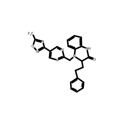 O=C1Nc2ccccc2N(Cc2ncc(-c3noc(C(F)(F)F)n3)cn2)C1CCc1ccccc1